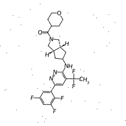 CC(F)(F)c1cc(-c2cc(F)cc(F)c2F)nnc1NC1C[C@@H]2CN(C(=O)C3CCOCC3)C[C@@H]2C1